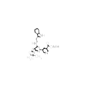 COC(=O)c1cncc(-c2nc(NCCc3c[nH]c4ccccc34)c3nc4n(c3n2)C(C)(C)CO4)c1